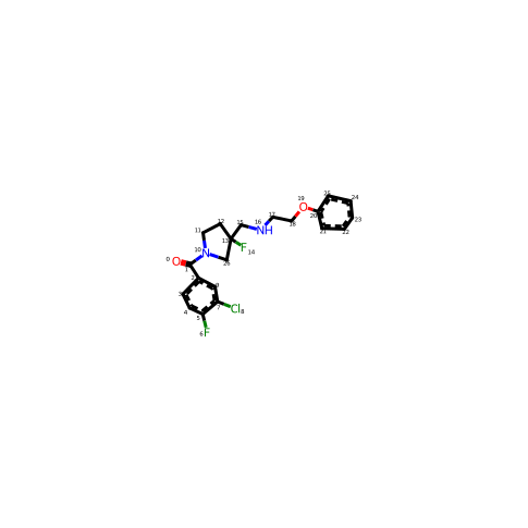 O=C(c1ccc(F)c(Cl)c1)N1CCC(F)(CNCCOc2ccccc2)C1